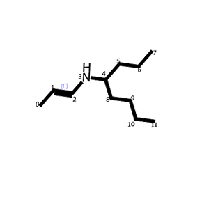 C/C=C/NC(CCC)CCCC